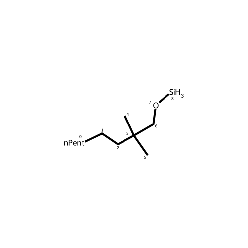 CCCCCCCC(C)(C)CO[SiH3]